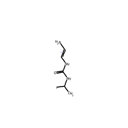 CC(I)NC(=O)N/C=C/N